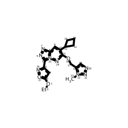 CCOc1cc(-c2nnc3cc(C4CCC4)c(OCc4cnnn4C)nn23)no1